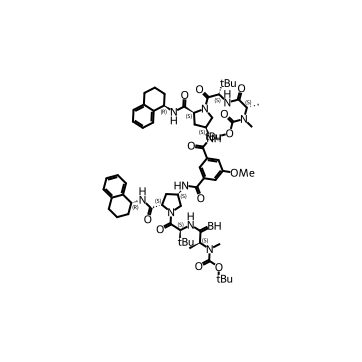 B=C(N[C@H](C(=O)N1C[C@@H](NC(=O)c2cc(OC)cc(C(=O)N[C@H]3C[C@@H](C(=O)N[C@@H]4CCCc5ccccc54)N(C(=O)[C@@H](NC(=O)[C@H](C)N(C)C(=O)OC(C)(C)C)C(C)(C)C)C3)c2)C[C@H]1C(=O)N[C@@H]1CCCc2ccccc21)C(C)(C)C)[C@H](C)N(C)C(=O)OC(C)(C)C